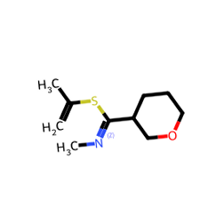 C=C(C)S/C(=N\C)C1CCCOC1